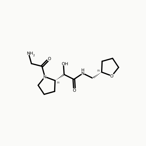 NCC(=O)N1CCC[C@H]1C(O)C(=O)NC[C@@H]1CCCO1